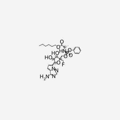 CCCCCCOC(=O)[C@H](C)N[P@@](=O)(OC[C@@]1(CF)O[C@@H](c2ccc3c(N)ncnn23)[C@H](O)[C@@H]1O)Oc1ccccc1